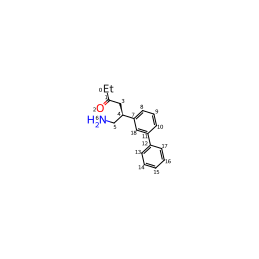 CCC(=O)C[C@H](CN)c1cccc(-c2ccccc2)c1